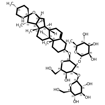 C[C@@H]1CC[C@@]2(NC1)O[C@H]1C[C@H]3[C@@H]4CC=C5C[C@@H](O[C@@H]6O[C@H](CO)[C@H](O)[C@H](O[C@@H]7O[C@H](CO)[C@@H](O)[C@H](O)[C@H]7O)[C@H]6O[C@@H]6O[C@@H](C)[C@H](O)[C@@H](O)[C@H]6O)CC[C@]5(C)[C@H]4CC[C@]3(C)[C@H]1[C@@H]2C